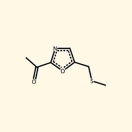 CSCc1cnc(C(C)=O)o1